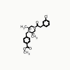 COC(=O)c1ccc(CN2[C@H](C)CN(C(=O)Cc3cccc(Cl)c3)C[C@@H]2C)cc1